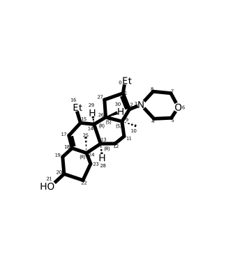 CCC1=C(N2CCOCC2)[C@@]2(C)CC[C@@H]3[C@@H](C(CC)C=C4CC(O)CC[C@@]43C)[C@@H]2C1